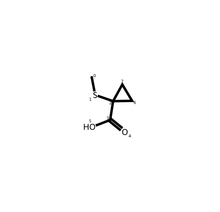 CSC1(C(=O)O)CC1